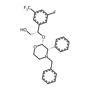 OC[C@@H](O[C@H]1OCCN(Cc2ccccc2)[C@H]1c1ccccc1)c1cc(F)cc(C(F)(F)F)c1